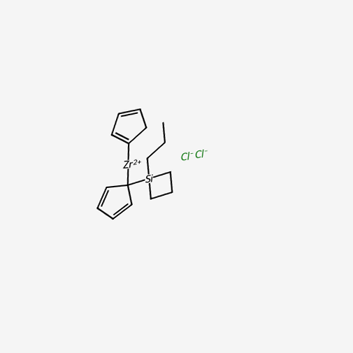 CCC[Si]1([C]2([Zr+2][C]3=CC=CC3)C=CC=C2)CCC1.[Cl-].[Cl-]